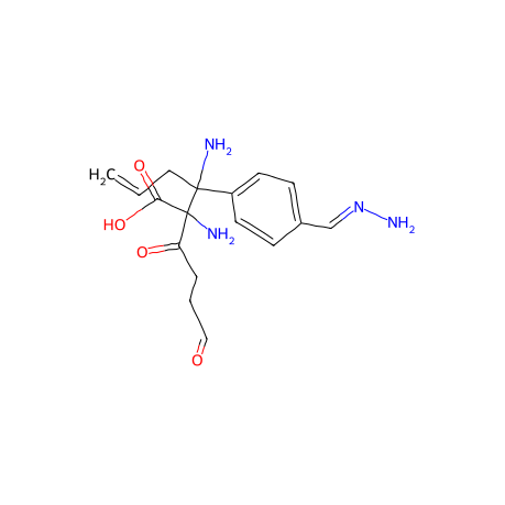 C=CCC(N)(c1ccc(C=NN)cc1)C(N)(C(=O)O)C(=O)CCC=O